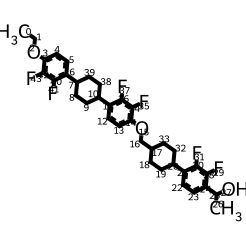 CCOc1ccc(C2CCC(c3ccc(OCC4CCC(c5ccc(C(C)O)c(F)c5F)CC4)c(F)c3F)CC2)c(F)c1F